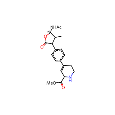 COC(=O)C1C=C(c2ccc(C3C(=O)O[C@@H](NC(C)=O)C3C)cc2)CCN1